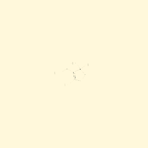 CCC1=C(C)OCC1(C)C